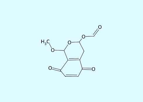 COC1OC(OC=O)CC2=C1C(=O)C=CC2=O